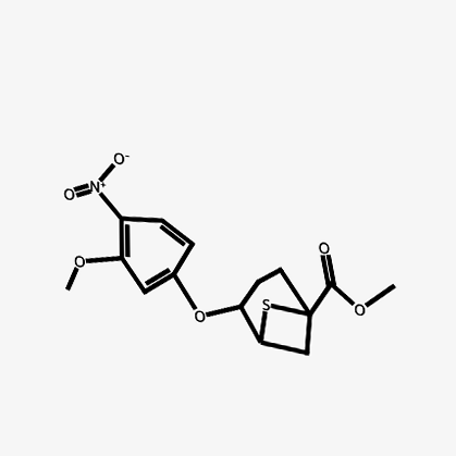 COC(=O)C12CCC(Oc3ccc([N+](=O)[O-])c(OC)c3)C(C1)S2